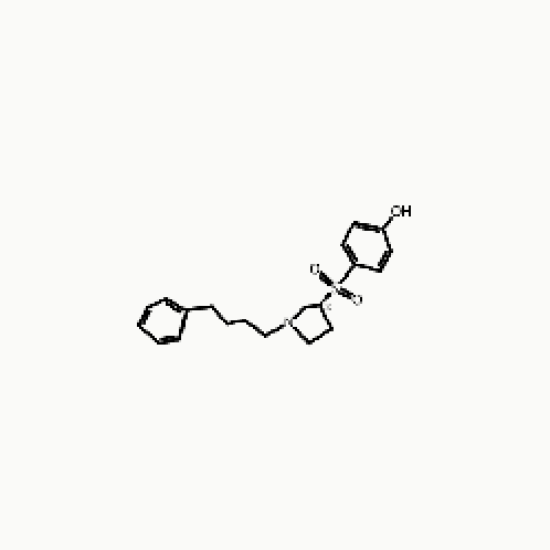 O=S(=O)(c1ccc(O)cc1)[C@H]1CCN(CCCCc2ccccc2)C1